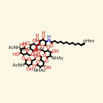 CCCCCC/C=C\CCCCCCCCCC(=O)NC1C(O[C@@H]2C(CO)OC(O[C@@H]3C(CO)OC(O[C@@H]4C(CO)OC(O[C@@H]5C(COC6OC(C)[C@@H](O)C(O)C6OC)OC(O)C(NC(C)=O)C5O)C(NC(C)=O)C4O)C(NC(C)=O)C3O)C(NC(C)=O)C2O)OC(COC(C)=O)[C@@H](O)C1O